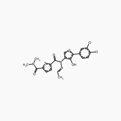 CC=NN(C(=O)c1ccc(C(=O)N(C)C)s1)c1csc(-c2ccc(Cl)c(Cl)c2)c1O